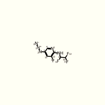 [N-]=[N+]=Nc1cnc(NC(F)C(F)F)c(F)c1